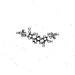 N=c1c2ncn([C@@H]3O[C@H](COP(=O)(O)O)[C@@H](O)[C@H]3O)c2ncn1[C@H]1O[C@H](COP(=O)(O)O)[C@@H](O)[C@H]1O